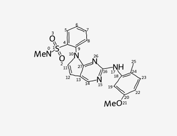 CNS(=O)(=O)c1ccccc1-n1ccc2cnc(Nc3cc(OC)ccc3C)nc21